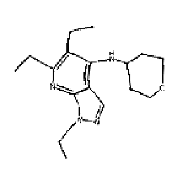 CCc1nc2c(cnn2CC)c(NC2CCOCC2)c1CC